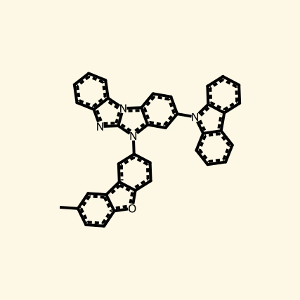 Cc1ccc2oc3ccc(-n4c5cc(-n6c7ccccc7c7ccccc76)ccc5n5c6ccccc6nc45)cc3c2c1